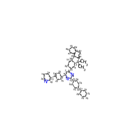 CC1(C)c2cc(-c3cc(-c4ccc(-c5cccnc5)cc4)nc(-c4ccc(-c5ccccc5)cc4)n3)ccc2-c2c1ccc1ccccc21